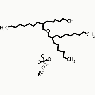 CCCCCCCCC(CCCCCC)COCC(CCCCCC)CCCCCCCC.O=P([O-])([O-])[O-].[K+].[K+].[K+]